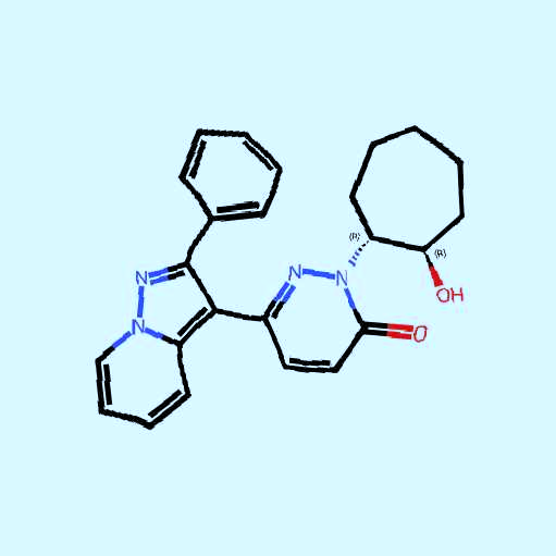 O=c1ccc(-c2c(-c3ccccc3)nn3ccccc23)nn1[C@@H]1CCCCC[C@H]1O